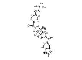 O=C(c1ccc2c(c1)NNN2)N1C[C@@H]2[C@H](C1)[C@H]1CN(C(=O)c3ccc(OCC(F)(F)F)cn3)C[C@@H]21